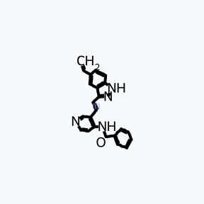 C=Cc1ccc2[nH]nc(/C=C/c3cnccc3NC(=O)c3ccccc3)c2c1